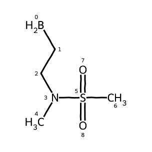 BCCN(C)S(C)(=O)=O